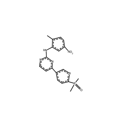 Cc1ccc([N+](=O)[O-])cc1Nc1nccc(-c2ccc(P(C)(C)=O)nc2)n1